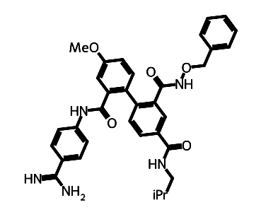 COc1ccc(-c2ccc(C(=O)NCC(C)C)cc2C(=O)NOCc2ccccc2)c(C(=O)Nc2ccc(C(=N)N)cc2)c1